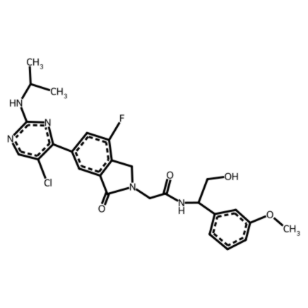 COc1cccc(C(CO)NC(=O)CN2Cc3c(F)cc(-c4nc(NC(C)C)ncc4Cl)cc3C2=O)c1